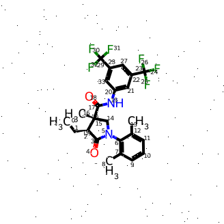 CC[C@@H]1C(=O)N(c2c(C)cccc2C)C[C@@]1(C)C(=O)Nc1cc(C(F)(F)F)cc(C(F)(F)F)c1